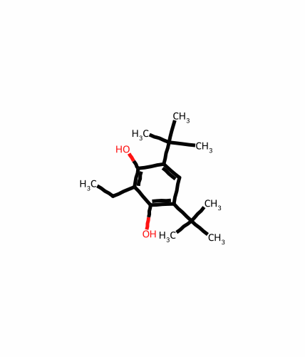 CCc1c(O)c(C(C)(C)C)cc(C(C)(C)C)c1O